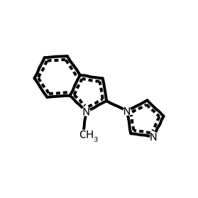 Cn1c(-n2ccnc2)cc2ccccc21